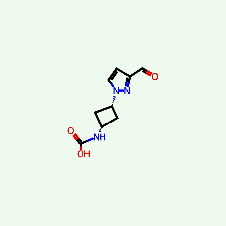 O=Cc1ccn([C@H]2C[C@@H](NC(=O)O)C2)n1